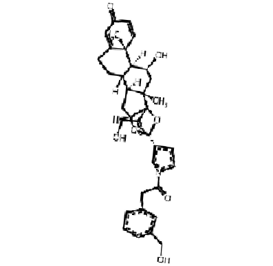 C[C@]12C=CC(=O)C=C1CC[C@@H]1[C@@H]2[C@@H](O)C[C@@]2(C)[C@H]1C[C@H]1O[C@@H](c3ccn(C(=O)Cc4cccc(CO)c4)c3)O[C@]12C(=O)CO